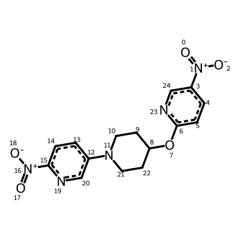 O=[N+]([O-])c1ccc(OC2CCN(c3ccc([N+](=O)[O-])nc3)CC2)nc1